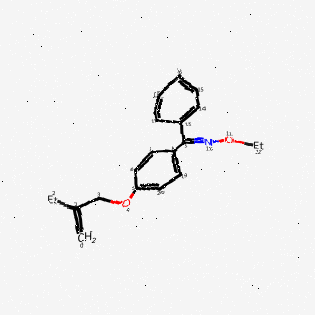 C=C(CC)COc1ccc(/C(=N/OCC)c2ccccc2)cc1